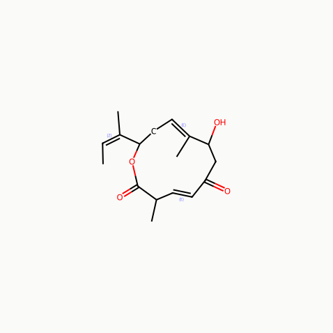 C/C=C(/C)C1C/C=C(\C)C(O)CC(=O)/C=C/C(C)C(=O)O1